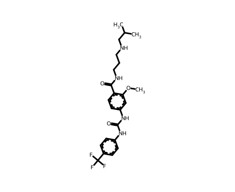 COc1cc(NC(=O)Nc2ccc(C(F)(F)F)cc2)ccc1C(=O)NCCCNCC(C)C